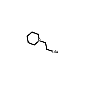 CC(C)(C)CCN1CCCCC1